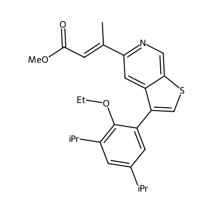 CCOc1c(-c2csc3cnc(C(C)=CC(=O)OC)cc23)cc(C(C)C)cc1C(C)C